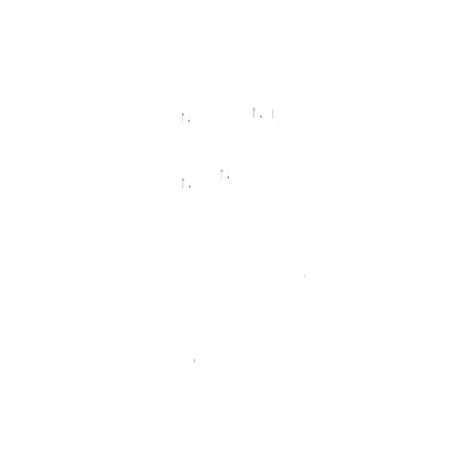 Nc1ncn(Cc2cc(Cl)cc(Cl)c2)n1